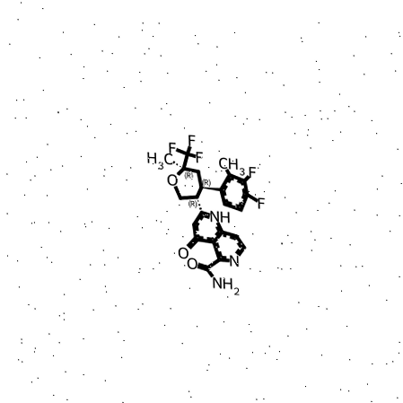 Cc1c([C@@H]2C[C@](C)(C(F)(F)F)OC[C@H]2c2cc(=O)c3c(C(N)=O)nccc3[nH]2)ccc(F)c1F